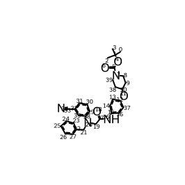 CC(C)(C)OC(=O)N1CCC(Oc2ccc(NC(=O)CN(Cc3ccccc3)c3cccc(C#N)c3)cc2)CC1